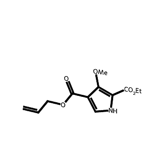 C=CCOC(=O)c1c[nH]c(C(=O)OCC)c1OC